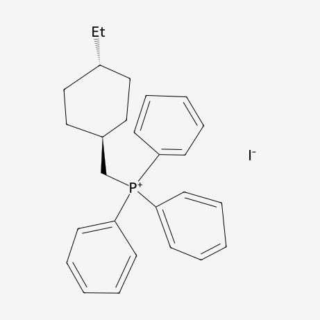 CC[C@H]1CC[C@H](C[P+](c2ccccc2)(c2ccccc2)c2ccccc2)CC1.[I-]